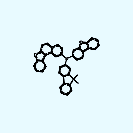 CC1(C)c2ccccc2-c2ccc(N(c3ccc4c(c3)oc3ccccc34)c3ccc4ccc5oc6ccccc6c5c4c3)cc21